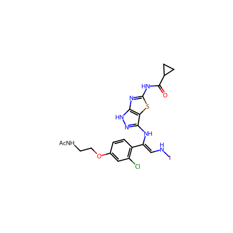 CC(=O)NCCOc1ccc(/C(=C/NI)Nc2n[nH]c3nc(NC(=O)C4CC4)sc23)c(Cl)c1